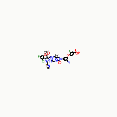 COC(=O)C1=C(CN2CCN3C(=O)N(c4cc(C#N)cc(Oc5ccc(C(=O)O)cc5F)c4)C[C@@H]3C2)NC(c2nccs2)=N[C@H]1c1ccc(F)cc1Cl